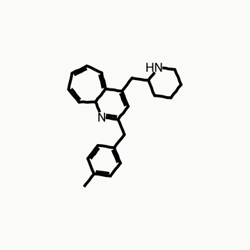 Cc1ccc(CC2=NC3C=CC=CC=C3C(CC3CCCCN3)=C2)cc1